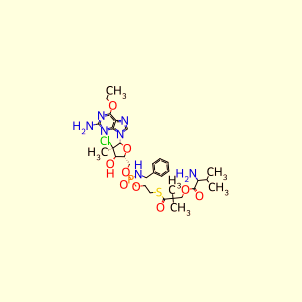 CCOc1nc(N)nc2c1ncn2[C@@H]1O[C@H](CO[P@@](=O)(NCc2ccccc2)OCCSC(=O)C(C)(C)COC(=O)[C@@H](N)C(C)C)[C@@H](O)[C@@]1(C)Cl